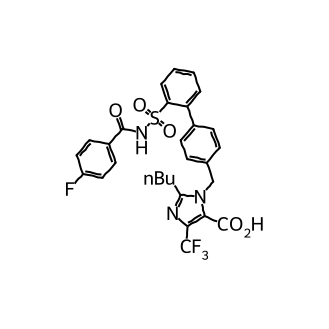 CCCCc1nc(C(F)(F)F)c(C(=O)O)n1Cc1ccc(-c2ccccc2S(=O)(=O)NC(=O)c2ccc(F)cc2)cc1